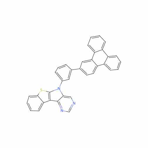 c1cc(-c2ccc3c4ccccc4c4ccccc4c3c2)cc(-n2c3cncnc3c3c4ccccc4sc32)c1